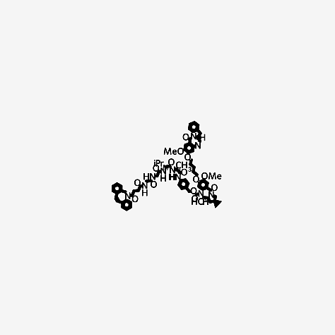 COc1cc2c(cc1OCCCCCOc1cc3c(cc1OC)C(=O)N1CC4(CC4)C[C@H]1C(O)N3C(=O)OCc1ccc(NC(=O)[C@H](C)NC(=O)[C@@H](NC(=O)CNC(=O)CNC(=O)CCC(=O)N3Cc4ccccc4C#Cc4ccccc43)C(C)C)cc1)N=C[C@@H]1Cc3ccccc3N1C2=O